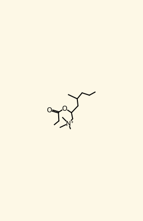 CCCC(C)CC(C[N+](C)(C)C)OC(=O)CC